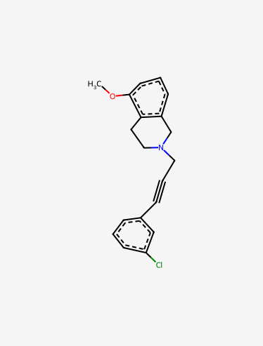 COc1cccc2c1CCN(CC#Cc1cccc(Cl)c1)C2